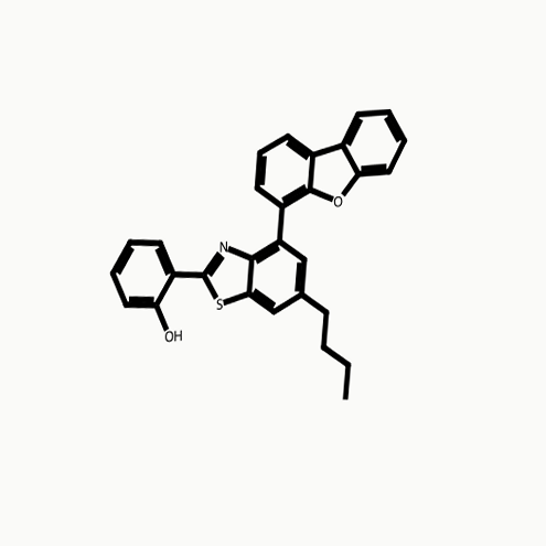 CCCCc1cc(-c2cccc3c2oc2ccccc23)c2nc(-c3ccccc3O)sc2c1